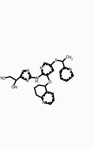 CC(Sc1cnc(Nc2nc(C(O)CO)cs2)c(OC2CCCc3ncccc32)c1)c1ccccn1